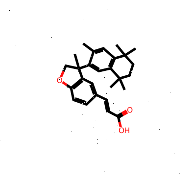 Cc1cc2c(cc1C1(C)COc3ccc(C=CC(=O)O)cc31)C(C)(C)CCC2(C)C